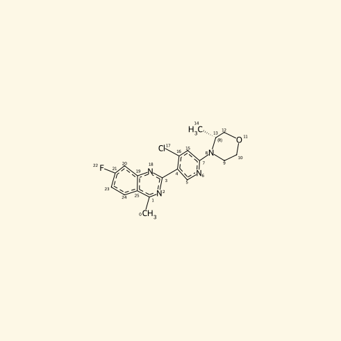 Cc1nc(-c2cnc(N3CCOC[C@H]3C)cc2Cl)nc2cc(F)ccc12